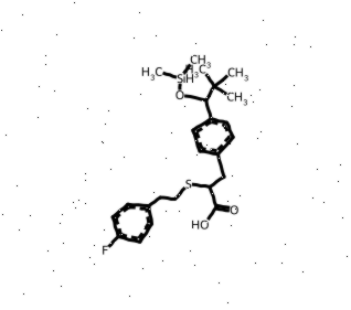 C[SiH](C)OC(c1ccc(CC(SCCc2ccc(F)cc2)C(=O)O)cc1)C(C)(C)C